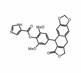 COc1cc(C2C3=C(COC3=O)Cc3cc4c(cc32)OCO4)cc(OC)c1OC(=O)c1cnc[nH]1